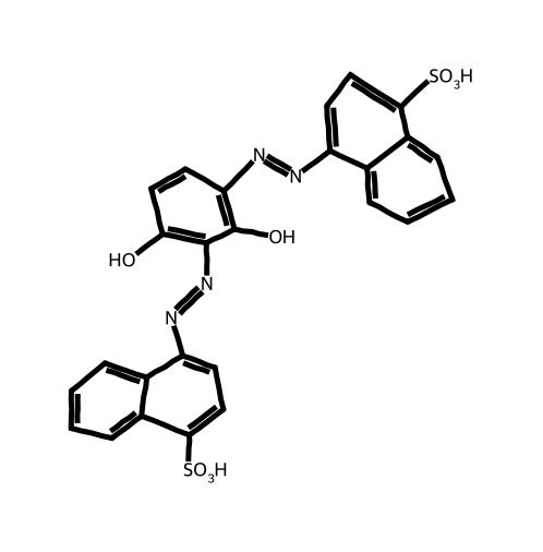 O=S(=O)(O)c1ccc(/N=N/c2ccc(O)c(/N=N/c3ccc(S(=O)(=O)O)c4ccccc34)c2O)c2ccccc12